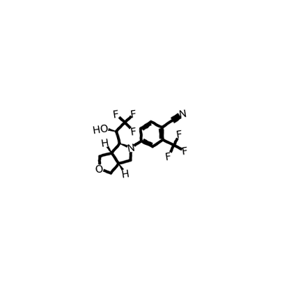 N#Cc1ccc(N2C[C@@H]3COC[C@@H]3[C@H]2[C@@H](O)C(F)(F)F)cc1C(F)(F)F